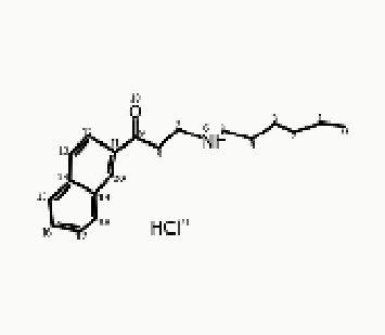 CCCCCCNCCC(=O)c1ccc2ccccc2c1.Cl